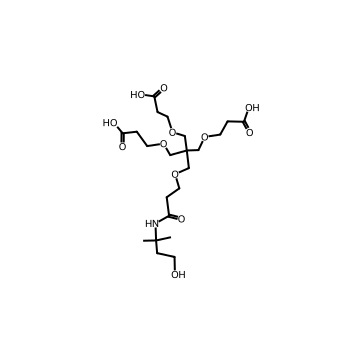 CC(C)(CCO)NC(=O)CCOCC(COCCC(=O)O)(COCCC(=O)O)COCCC(=O)O